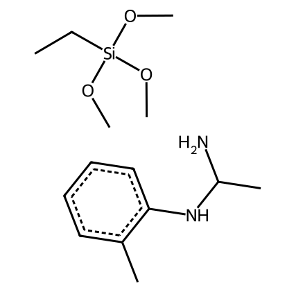 CC[Si](OC)(OC)OC.Cc1ccccc1NC(C)N